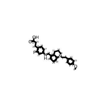 COc1ccc(CCN2CCCc3c(CNc4ccc(CCC(=O)O)c(F)c4)cccc32)cc1